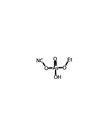 CCO[As](=O)(O)OC#N